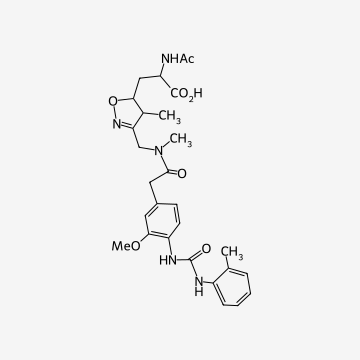 COc1cc(CC(=O)N(C)CC2=NOC(CC(NC(C)=O)C(=O)O)C2C)ccc1NC(=O)Nc1ccccc1C